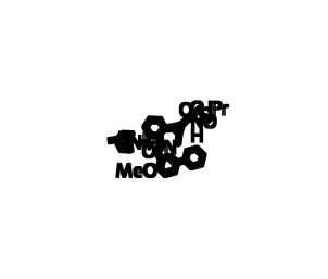 COc1ccc(C2CCCCC2)c2c1cc1n2CC2=C(C(=O)NS(=O)(=O)C(C)C)C2=C2C=CC[C@@H](C(=O)N3CC4CCC3CN4C)[C@@H]21